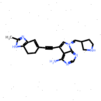 Cc1nc2c([nH]1)CCC(C#CC1=C/[N+](=C/C3CCNC3)c3ncnc(N)c31)=C2